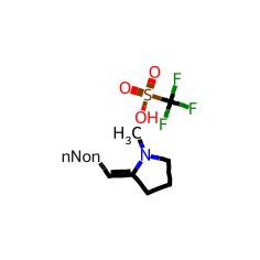 CCCCCCCCCC=C1CCCN1C.O=S(=O)(O)C(F)(F)F